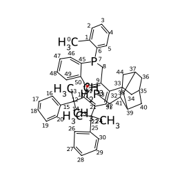 Cc1ccccc1P(Cc1cc(C(C)(C)c2ccccc2)c(C(C)(C)c2ccccc2)cc1C12CC3CC(CC(C3)C1CP)C2)c1ccccc1C